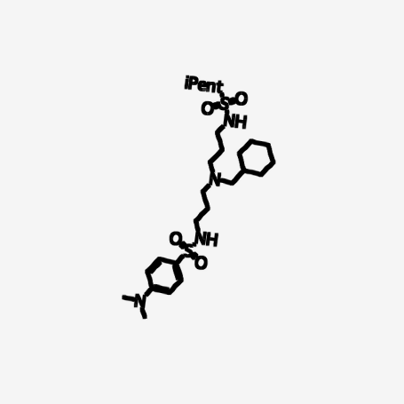 CCCC(C)S(=O)(=O)NCCCN(CCCNS(=O)(=O)c1ccc(N(C)C)cc1)CC1CCCCC1